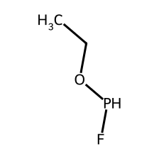 CCOPF